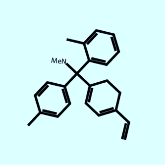 C=CC1=CC=C(C(NC)(c2ccc(C)cc2)c2ccccc2C)CC1